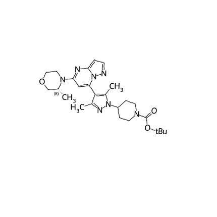 Cc1nn(C2CCN(C(=O)OC(C)(C)C)CC2)c(C)c1-c1cc(N2CCOC[C@H]2C)nc2ccnn12